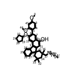 COc1ccc(-c2cc3c(O)cc4c(c3cc2OC2CCCC2)-c2ccccc2C42CC(C)(C)CC(C)(CN=[N+]=[N-])C2)c(OC)c1